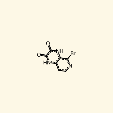 O=c1[nH]c2ccnc(Br)c2[nH]c1=O